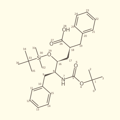 CC(C)(C)OC(=O)N[C@@H](Cc1ccccc1)[C@H](C[C@H](Cc1ccccc1)C(=O)O)O[Si](C)(C)C(C)(C)C